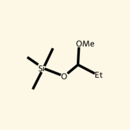 CCC(OC)O[Si](C)(C)C